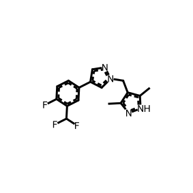 Cc1n[nH]c(C)c1Cn1cc(-c2ccc(F)c(C(F)F)c2)cn1